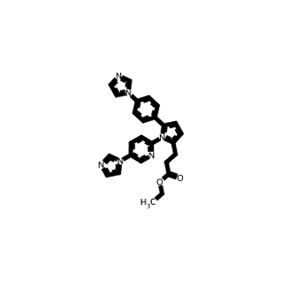 CCOC(=O)CCc1ccc(-c2ccc(-n3ccnc3)cc2)n1-c1ccc(-n2ccnc2)cn1